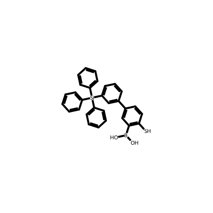 OB(O)c1cc(-c2cccc([Si](c3ccccc3)(c3ccccc3)c3ccccc3)c2)ccc1S